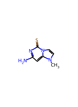 Cn1ccn2c(=S)nc(N)cc12